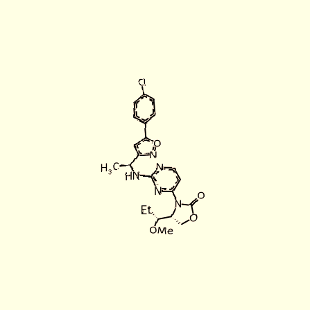 CC[C@@H](OC)[C@H]1COC(=O)N1c1ccnc(N[C@@H](C)c2cc(-c3ccc(Cl)cc3)on2)n1